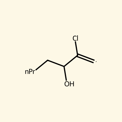 [CH]=C(Cl)C(O)CCCC